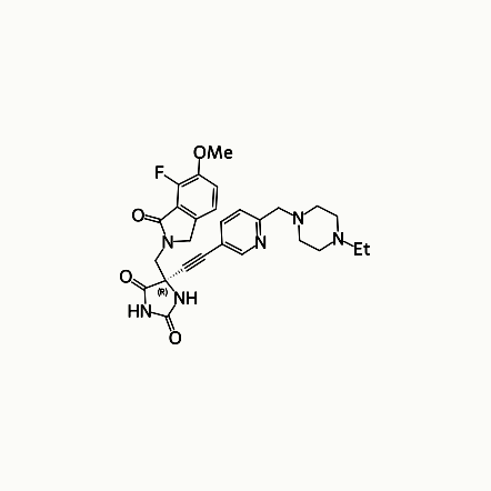 CCN1CCN(Cc2ccc(C#C[C@]3(CN4Cc5ccc(OC)c(F)c5C4=O)NC(=O)NC3=O)cn2)CC1